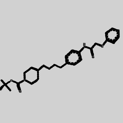 CC(C)(C)OC(=O)N1CCC(CCCCc2ccc(NC(=O)COc3ccccc3)cc2)CC1